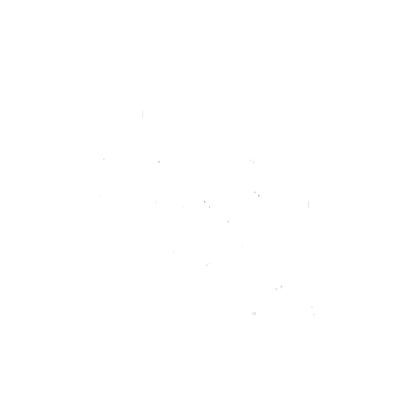 O=C1CN(C(=O)c2cccc(Cl)c2Cl)C(c2cccc(Br)c2)N1O